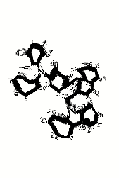 c1ccc(N(c2ccccc2)c2ccc(-c3c(Cn4c5ccccc5c5ccccc54)ccc4ccccc34)cc2)cc1